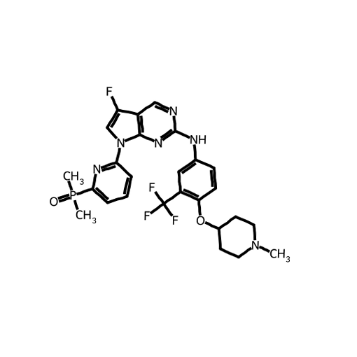 CN1CCC(Oc2ccc(Nc3ncc4c(F)cn(-c5cccc(P(C)(C)=O)n5)c4n3)cc2C(F)(F)F)CC1